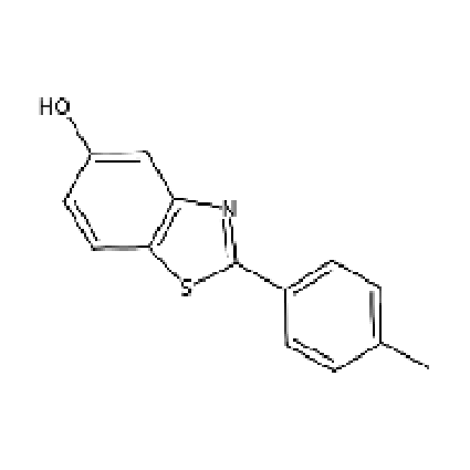 Cc1ccc(-c2nc3cc(O)ccc3s2)cc1